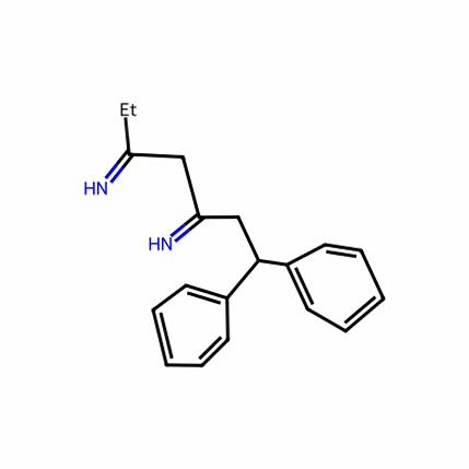 CCC(=N)CC(=N)CC(c1ccccc1)c1ccccc1